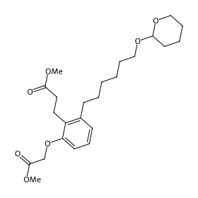 COC(=O)CCc1c(CCCCCCOC2CCCCO2)cccc1OCC(=O)OC